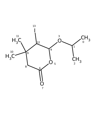 CC(C)OC1OC(=O)CC(C)(C)C1I